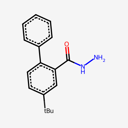 CC(C)(C)c1ccc(-c2ccccc2)c(C(=O)NN)c1